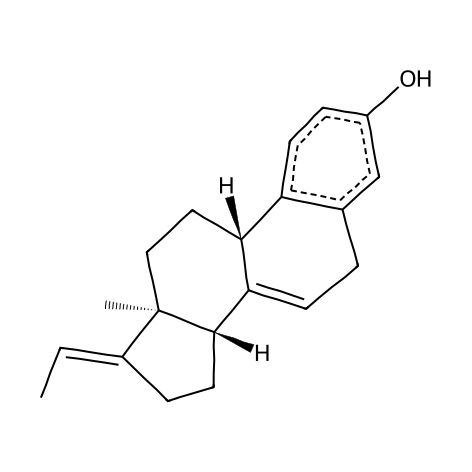 CC=C1CC[C@H]2C3=CCc4cc(O)ccc4[C@H]3CC[C@]12C